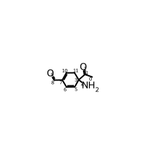 CC(=O)C1(N)C=CC(C=O)=CC1